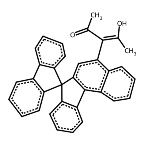 CC(=O)/C(=C(/C)O)c1cc2c(c3ccccc13)-c1ccccc1C21c2ccccc2-c2ccccc21